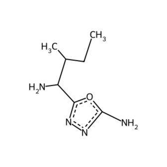 CCC(C)C(N)c1nnc(N)o1